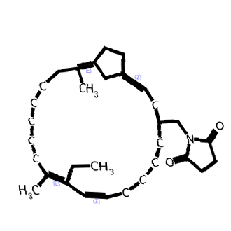 CCC1=C(/C)CCCCCC/C(C)=C2\CC/C(=C/CC(CN3C(=O)CCC3=O)CCCC/C=C\1)C2